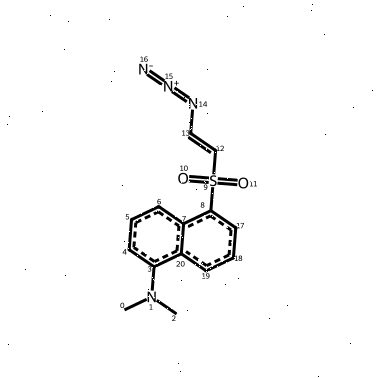 CN(C)c1cccc2c(S(=O)(=O)C=CN=[N+]=[N-])cccc12